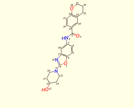 O=C(Nc1ccc2oc(N3CCC(O)CC3)nc2c1)c1ccc2c(c1)CCCO2